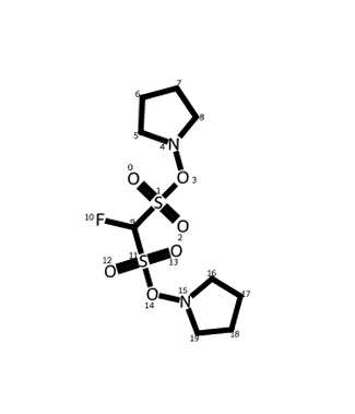 O=S(=O)(ON1CCCC1)C(F)S(=O)(=O)ON1CCCC1